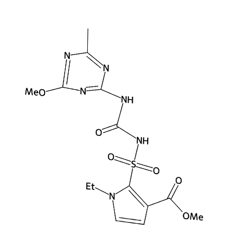 CCn1ccc(C(=O)OC)c1S(=O)(=O)NC(=O)Nc1nc(C)nc(OC)n1